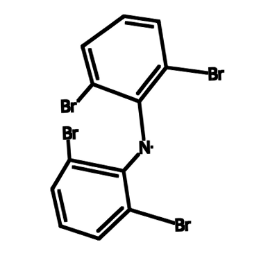 Brc1cccc(Br)c1[N]c1c(Br)cccc1Br